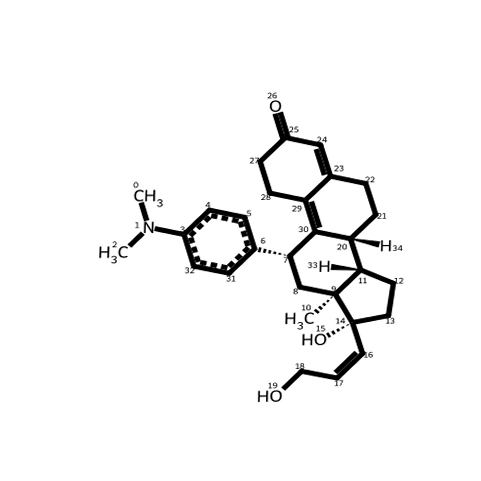 CN(C)c1ccc([C@H]2C[C@@]3(C)[C@@H](CC[C@@]3(O)/C=C\CO)[C@H]3CCC4=CC(=O)CCC4=C23)cc1